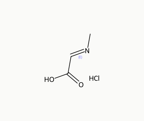 C/N=C/C(=O)O.Cl